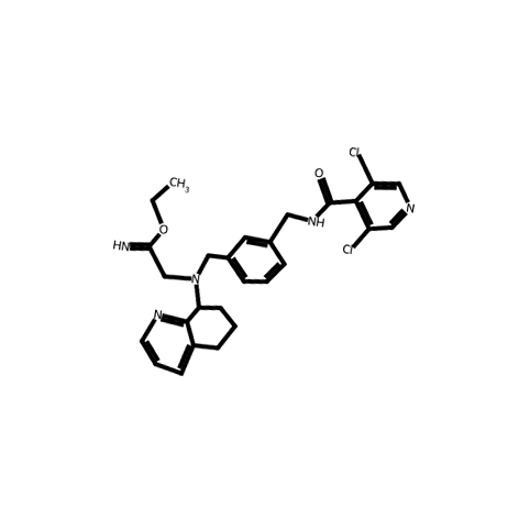 CCOC(=N)CN(Cc1cccc(CNC(=O)c2c(Cl)cncc2Cl)c1)C1CCCc2cccnc21